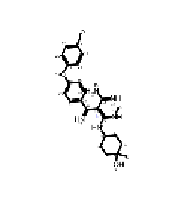 CN/C(NC1CCC(C)(O)CC1)=C(\C(=N)N)C(=N)c1ccc(Oc2ccc(F)cc2)cc1